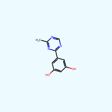 Cc1ncnc(-c2cc(O)cc(O)c2)n1